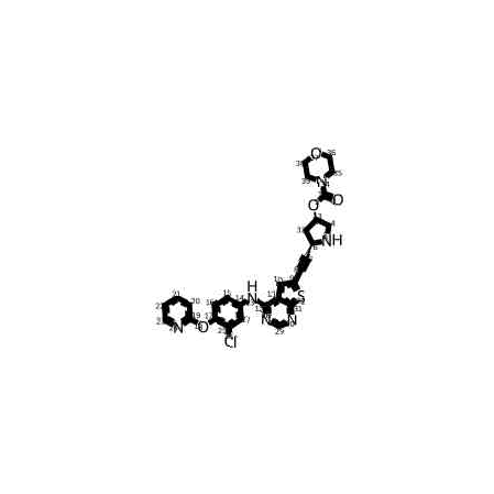 O=C(O[C@@H]1CN[C@@H](C#Cc2cc3c(Nc4ccc(Oc5ccccn5)c(Cl)c4)ncnc3s2)C1)N1CCOCC1